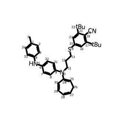 Cc1ccc(Nc2ccc(N(CCCSc3cc(C(C)(C)C)c(C#N)c(C(C)(C)C)c3)C3=CCC=CC=C3)cc2)cc1